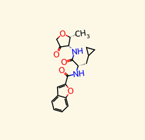 C[C@H]1OCC(=O)[C@H]1NC(=O)[C@H](CC1CC1)NC(=O)c1cc2ccccc2o1